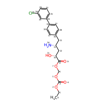 CCOC(=O)OCOC(=O)[C@H](O)C[C@H](N)Cc1ccc(-c2cccc(Cl)c2)cc1